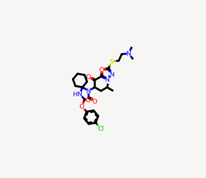 CC(C)CC(C(=O)c1nnc(SCCN(C)C)o1)N(C=O)C1(NC(=O)Oc2ccc(Cl)cc2)CCCCC1